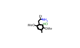 CC[C@@H](N)Cc1cc(OC)c(C)cc1OC.Cl